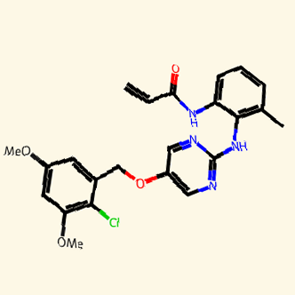 C=CC(=O)Nc1cccc(C)c1Nc1ncc(OCc2cc(OC)cc(OC)c2Cl)cn1